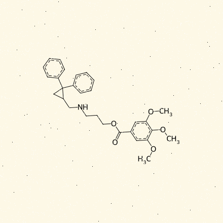 COc1cc(C(=O)OCCCNCC2CC2(c2ccccc2)c2ccccc2)cc(OC)c1OC